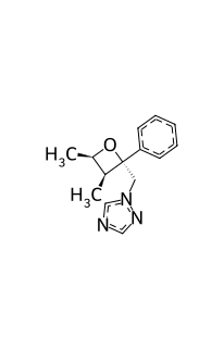 C[C@H]1O[C@@](Cn2cncn2)(c2ccccc2)[C@H]1C